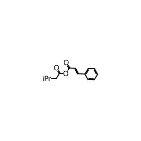 CC(C)CC(=O)OC(=O)C=Cc1ccccc1